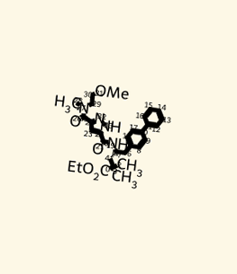 CCOC(=O)C(C)(C)C[C@@H](Cc1ccc(-c2ccccc2)cc1)NC(=O)c1cc(C(=O)N(C)CCOC)n[nH]1